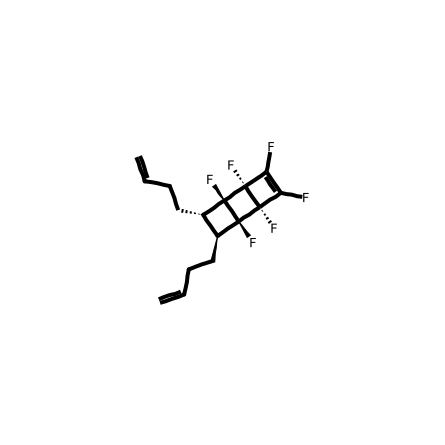 C=CCC[C@H]1[C@H](CCC=C)[C@]2(F)[C@@]3(F)C(F)=C(F)[C@@]3(F)[C@]12F